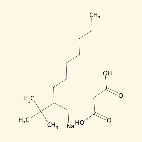 CCCCCCCC([CH2][Na])C(C)(C)C.O=C(O)CC(=O)O